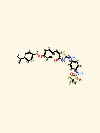 CC(C)c1ccc(COc2ccc(C=C3SC(Nc4ccc(NS(=O)(=O)C(F)(F)F)cc4)=NC3=O)cc2)cc1